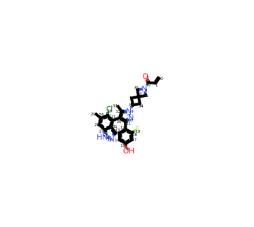 C=CC(=O)N1CC2(CC(n3nc(-c4ccc(O)cc4F)c(-c4c(Cl)c(C)cc5[nH]ncc45)c3C)C2)C1